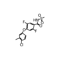 Cc1cc(Oc2cc(F)c(C(=O)NS(C)(=O)=O)cc2F)ccc1Cl